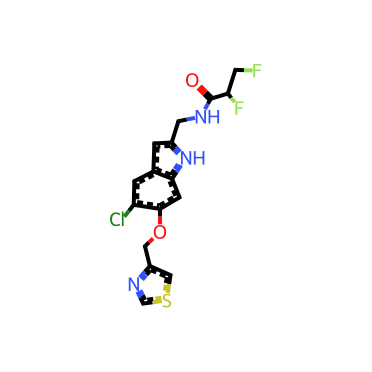 O=C(NCc1cc2cc(Cl)c(OCc3cscn3)cc2[nH]1)C(F)CF